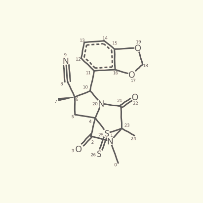 CN1C(=O)C23C[C@](C)(C#N)C(c4cccc5c4OCO5)N2C(=O)C1(C)S3=S